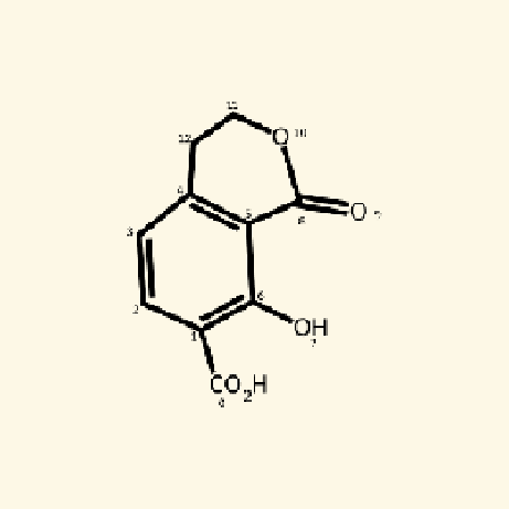 O=C(O)c1ccc2c(c1O)C(=O)OCC2